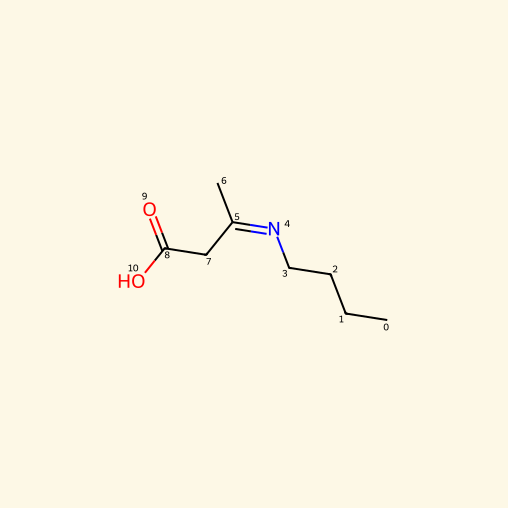 CCCCN=C(C)CC(=O)O